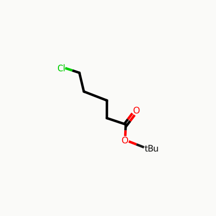 CC(C)(C)OC(=O)CCCCCl